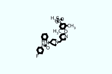 Cc1cc(S(C)(=O)=O)cc(C)c1Oc1ccc(CN2CCC(N(C(=O)Nc3ccc(F)cc3)c3ccccc3)CC2)cn1